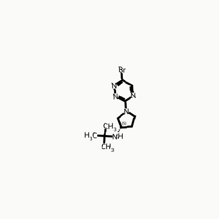 CC(C)(C)N[C@H]1CCN(c2ncc(Br)nn2)C1